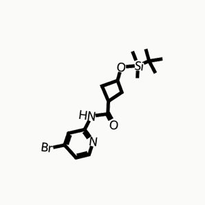 CC(C)(C)[Si](C)(C)OC1CC(C(=O)Nc2cc(Br)ccn2)C1